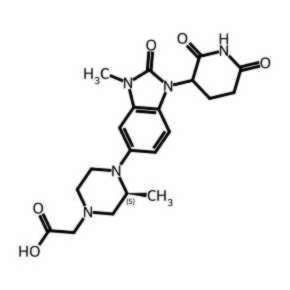 C[C@H]1CN(CC(=O)O)CCN1c1ccc2c(c1)n(C)c(=O)n2C1CCC(=O)NC1=O